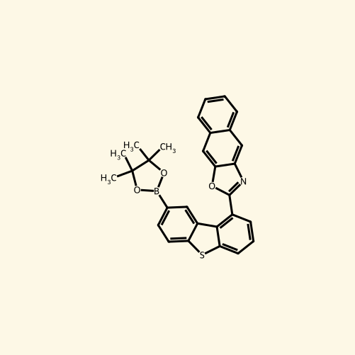 CC1(C)OB(c2ccc3sc4cccc(-c5nc6cc7ccccc7cc6o5)c4c3c2)OC1(C)C